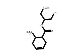 CCCCCCCCCCCC(CC(C)C)OC(=O)C1CC=CCC1C(=O)O